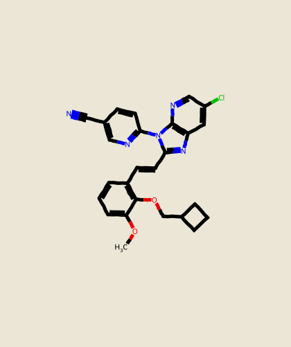 COc1cccc(C=Cc2nc3cc(Cl)cnc3n2-c2ccc(C#N)cn2)c1OCC1CCC1